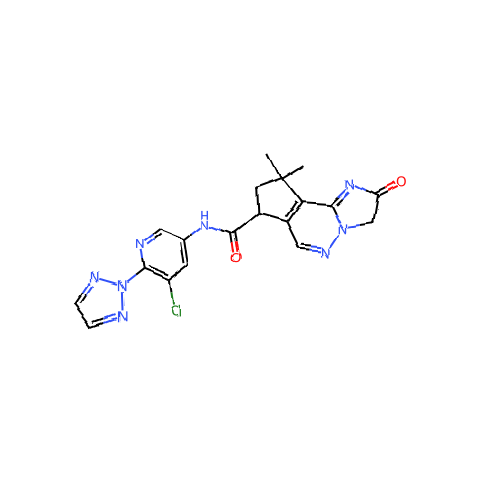 CC1(C)CC(C(=O)Nc2cnc(-n3nccn3)c(Cl)c2)C2=C1C1=NC(=O)CN1N=C2